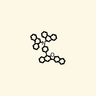 c1ccc2cc3c(cc2c1)oc1c(-c2ccc(N(c4cc5ccccc5c5ccccc45)c4cc5ccccc5c5ccccc45)cc2)c2ccccc2cc13